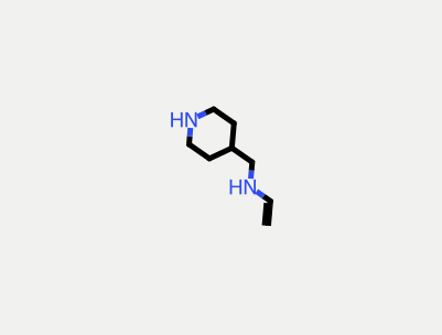 C=CNCC1CCNCC1